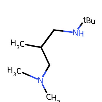 CC(CNC(C)(C)C)CN(C)C